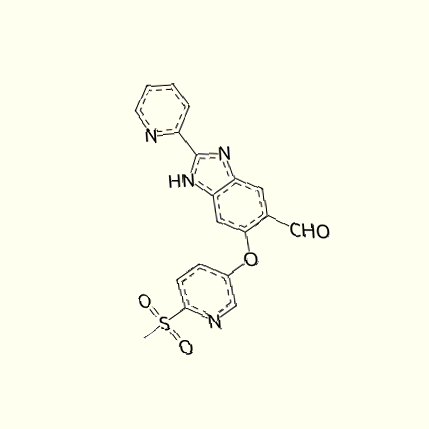 CS(=O)(=O)c1ccc(Oc2cc3[nH]c(-c4ccccn4)nc3cc2C=O)cn1